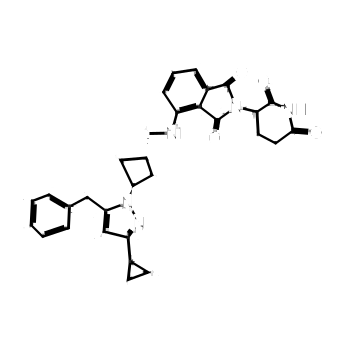 O=C1CCC(N2C(=O)c3cccc(NC[C@H]4C[C@H](n5nc(C6CC6)cc5Cc5ccccc5)C4)c3C2=O)C(=O)N1